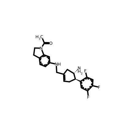 CC(=O)N1CCc2ccc(NCC3=CC[C@H](c4cc(F)c(F)cc4F)[C@@H](N)C3)cc21